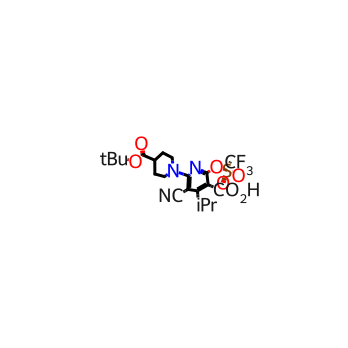 CC(C)c1c(C#N)c(N2CCC(C(=O)OC(C)(C)C)CC2)nc(OS(=O)(=O)C(F)(F)F)c1C(=O)O